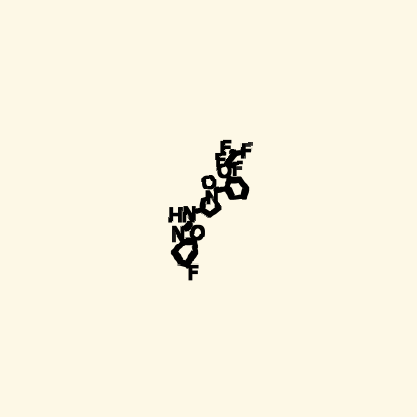 O=C(c1ccccc1OC(F)(F)C(F)F)N1CCC(Nc2nc3ccc(F)cc3o2)C1